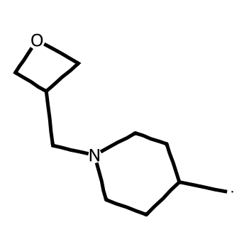 [CH2]C1CCN(CC2COC2)CC1